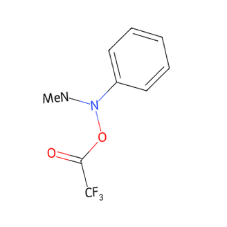 CNN(OC(=O)C(F)(F)F)c1ccccc1